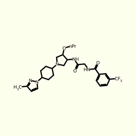 CCCOC1CN(C2CCC(n3ccc(C)n3)CC2)CC1NC(=O)CNC(=O)c1cccc(C(F)(F)F)c1